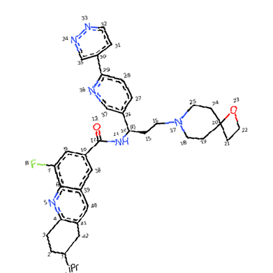 CC(C)C1CCc2nc3c(F)cc(C(=O)N[C@H](CCN4CCC5(CCO5)CC4)c4ccc(-c5ccnnc5)nc4)cc3cc2C1